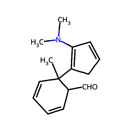 CN(C)C1=C(C2(C)C=CC=CC2C=O)CC=C1